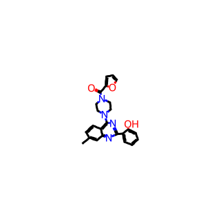 Cc1ccc2c(N3CCN(C(=O)c4ccco4)CC3)nc(-c3ccccc3O)nc2c1